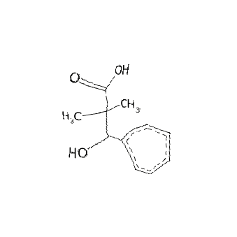 CC(C)(C(=O)O)C(O)c1ccccc1